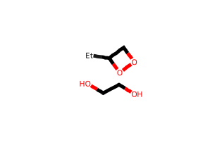 CCC1COO1.OCCO